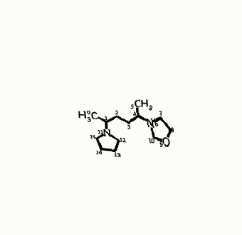 CC(CCC(C)N1CCOC1)N1CCCC1